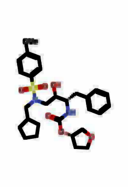 COc1ccc(S(=O)(=O)N(CC2CCCC2)C[C@@H](O)[C@H](Cc2ccccc2)NC(=O)O[C@H]2CCOC2)cc1